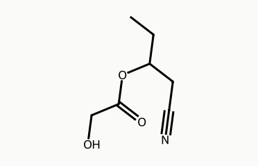 CCC(CC#N)OC(=O)CO